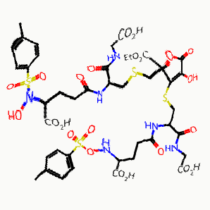 CCOC(=O)C1(CSCC(NC(=O)CCC(C(=O)O)N(O)S(=O)(=O)c2ccc(C)cc2)C(=O)NCC(=O)O)OC(=O)C(O)=C1SCC(NC(=O)CCC(NOS(=O)(=O)c1ccc(C)cc1)C(=O)O)C(=O)NCC(=O)O